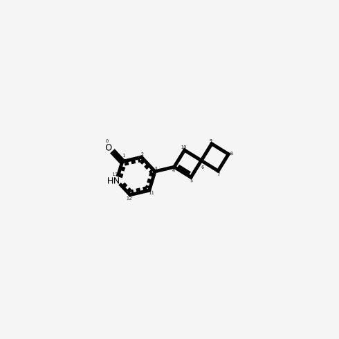 O=c1cc(C2=CC3(CCC3)C2)cc[nH]1